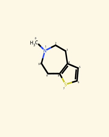 CN1CCc2ccsc2CC1